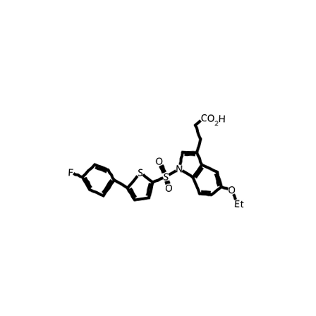 CCOc1ccc2c(c1)c(CCC(=O)O)cn2S(=O)(=O)c1ccc(-c2ccc(F)cc2)s1